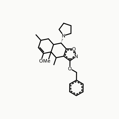 COC1=CC(C)CC2[C@H](N3CCCC3)c3onc(OCc4ccccc4)c3C(C)C12C